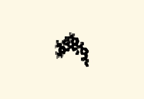 CCOC(=O)CC1CCC(C(=O)N2c3ccc(C(F)(F)F)cc3C(N(Cc3cc(C(F)(F)F)cc(C(F)(F)F)c3)c3nnn(C)n3)C[C@H]2CC)CC1